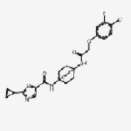 O=C(COc1ccc(Cl)c(F)c1)NC12CCC(NC(=O)c3cnc(C4CC4)o3)(CC1)CC2